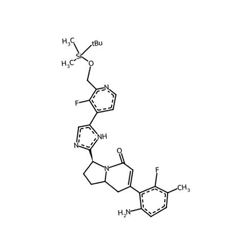 Cc1ccc(N)c(C2=CC(=O)N3C(CC[C@H]3c3ncc(-c4ccnc(CO[Si](C)(C)C(C)(C)C)c4F)[nH]3)C2)c1F